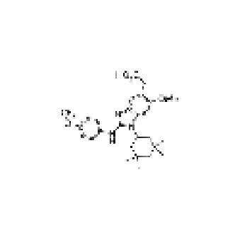 COc1cc2c(cc1CC(=O)O)nc(Nc1ccc(OC(F)(F)F)cc1)n2C1CC(C)(C)CC(C)(C)C1